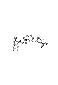 O=c1[nH]c2ccccc2n1C1CCN(C2CCN(Cc3ccc([N+](=O)[O-])cc3)CC2)CC1